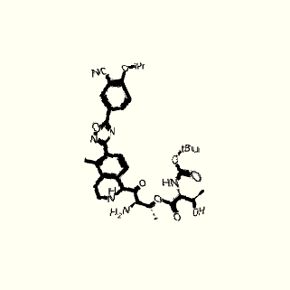 Cc1c(-c2noc(-c3ccc(OC(C)C)c(C#N)c3)n2)ccc2c1CCNC2C(=O)[C@H](N)[C@@H](C)OC(=O)[C@H](NC(=O)OC(C)(C)C)[C@@H](C)O